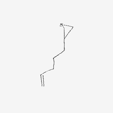 C=CCCCC1CS1